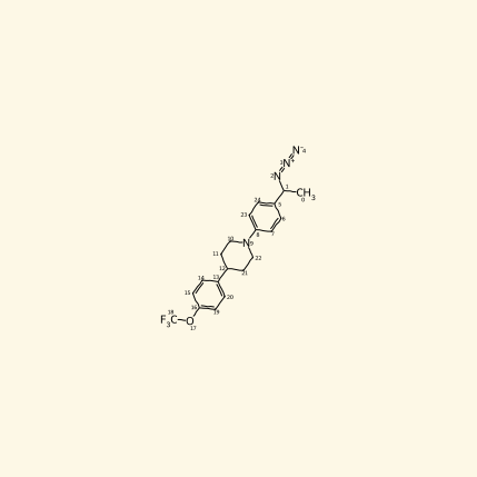 CC(N=[N+]=[N-])c1ccc(N2CCC(c3ccc(OC(F)(F)F)cc3)CC2)cc1